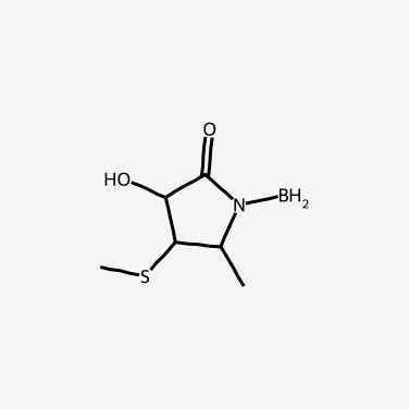 BN1C(=O)C(O)C(SC)C1C